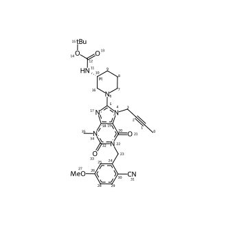 CC#CCn1c(N2CCC[C@@H](NC(=O)OC(C)(C)C)C2)nc2c1c(=O)n(Cc1cc(OC)ccc1C#N)c(=O)n2C